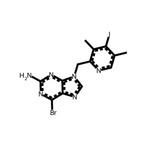 Cc1cnc(Cn2cnc3c(Br)nc(N)nc32)c(C)c1I